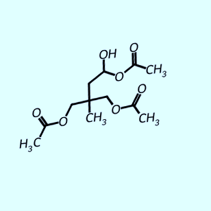 CC(=O)OCC(C)(COC(C)=O)CC(O)OC(C)=O